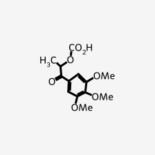 COc1cc(C(=O)C(C)OC(=O)O)cc(OC)c1OC